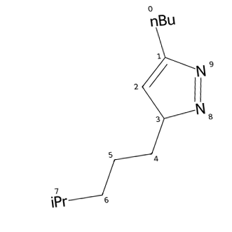 CCCCC1=CC(CCCC(C)C)N=N1